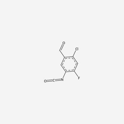 O=C=Nc1cc(C=O)c(Cl)cc1F